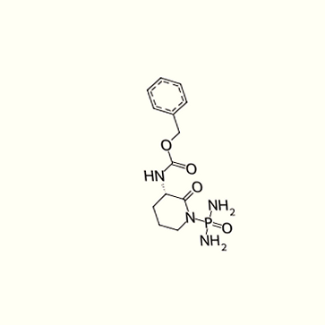 NP(N)(=O)N1CCC[C@H](NC(=O)OCc2ccccc2)C1=O